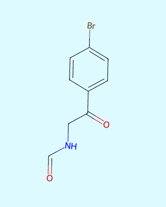 O=CNCC(=O)c1ccc(Br)cc1